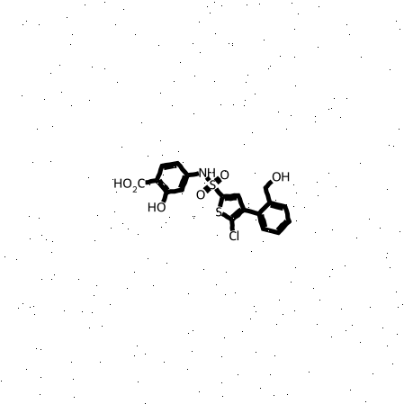 O=C(O)c1ccc(NS(=O)(=O)c2cc(-c3ccccc3CO)c(Cl)s2)cc1O